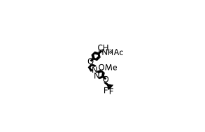 COc1cc(OCC2CC2(F)F)cnc1N1CCC(Oc2ccc([C@H](C)NC(C)=O)cc2)C1